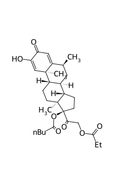 CCCCC(=O)O[C@]1(C(=O)COC(=O)CC)CC[C@H]2[C@@H]3C[C@H](C)C4=CC(=O)C(O)=C[C@]4(C)[C@H]3CC[C@@]21C